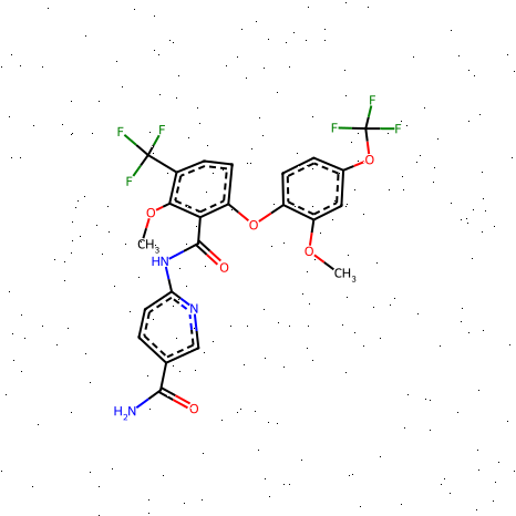 COc1cc(OC(F)(F)F)ccc1Oc1ccc(C(F)(F)F)c(OC)c1C(=O)Nc1ccc(C(N)=O)cn1